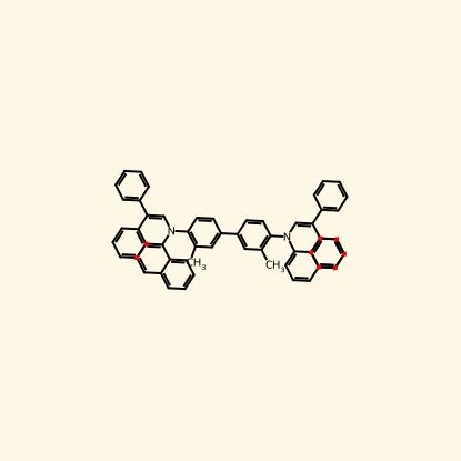 Cc1cc(-c2ccc(N(C=C(c3ccccc3)c3ccccc3)c3cccc4ccccc34)c(C)c2)ccc1N(C=C(c1ccccc1)c1ccccc1)c1cccc2ccccc12